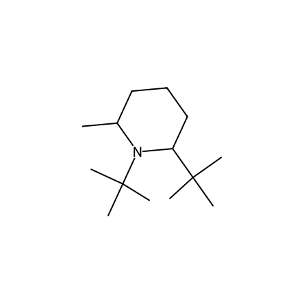 CC1CCCC(C(C)(C)C)N1C(C)(C)C